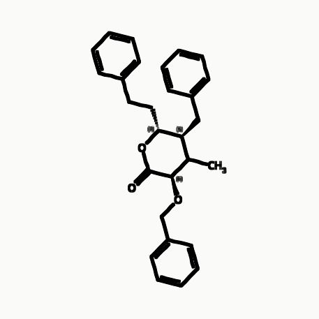 CC1[C@@H](OCc2ccccc2)C(=O)O[C@H](CCc2ccccc2)[C@H]1Cc1ccccc1